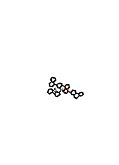 c1ccc(-c2ccc(-c3cccc4ccccc34)cc2N(c2ccc(-c3ccc4c(ccc5ccccc54)c3)cc2)c2cccc3c2sc2ccccc23)cc1